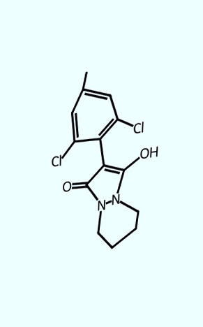 Cc1cc(Cl)c(-c2c(O)n3n(c2=O)CCCC3)c(Cl)c1